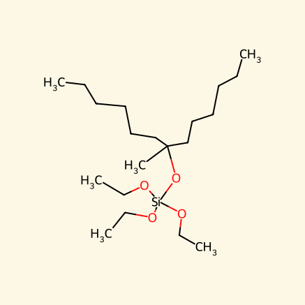 CCCCCCC(C)(CCCCCC)O[Si](OCC)(OCC)OCC